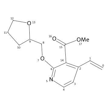 C=Cc1ccnc(OCC2CCCO2)c1C(=O)OC